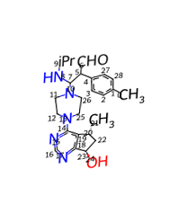 Cc1ccc(C(C=O)C(NC(C)C)N2CCN(c3ncnc4c3[C@H](C)C[C@H]4O)CC2)cc1